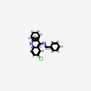 Clc1ccc2nc3c(c(N=Cc4ccccc4)c2c1)C1CCC3CC1